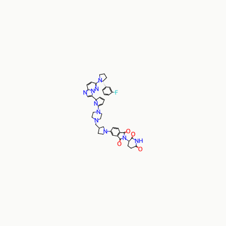 O=C1CCC(N2C(=O)c3ccc(N4CCC(CN5CCN(c6cccc(-c7cnc8ccc(N9CCC[C@@H]9c9cccc(F)c9)nn78)n6)CC5)C4)cc3C2=O)C(=O)N1